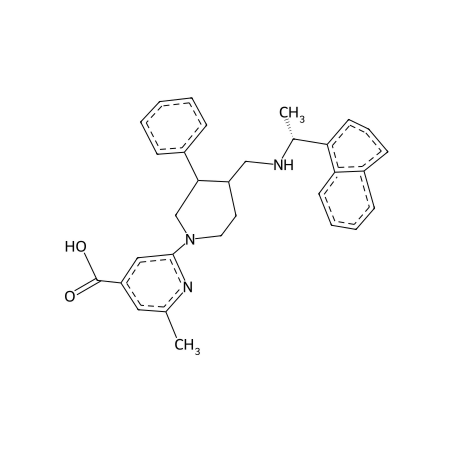 Cc1cc(C(=O)O)cc(N2CCC(CN[C@H](C)c3cccc4ccccc34)C(c3ccccc3)C2)n1